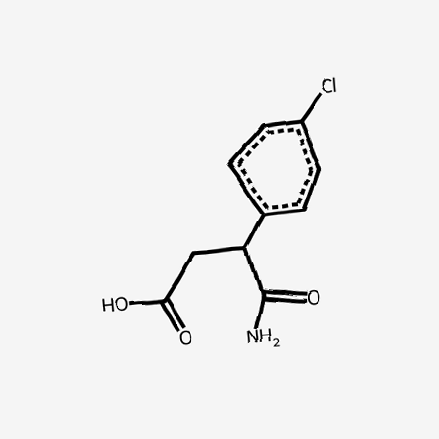 NC(=O)C(CC(=O)O)c1ccc(Cl)cc1